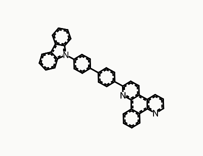 c1ccc2c(c1)c1ncccc1c1ccc(-c3ccc(-c4ccc(-n5c6ccccc6c6ccccc65)cc4)cc3)nc21